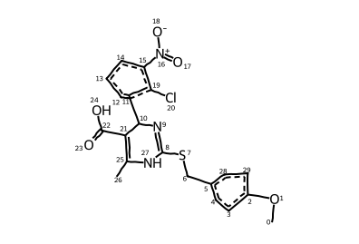 COc1ccc(CSC2=NC(c3cccc([N+](=O)[O-])c3Cl)C(C(=O)O)=C(C)N2)cc1